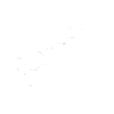 COc1nsc(NC(=O)N2CC3C[C@@H](N(C)c4c(C#N)cnc5[nH]ccc45)C[C@@H]3C2)n1